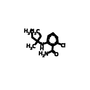 CCC(C)(CC)Nc1cccc(Cl)c1C(N)=O